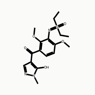 CCS(=O)(CC)=Nc1c(OC)ccc(C(=O)c2cnn(C)c2O)c1OC